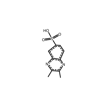 Cc1nc2ccc(S(=O)(=O)O)cc2nc1C